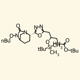 CCCCON1C(=O)N2CC1CC[C@H]2c1nnc(CC(CNC(=O)OC(C)(C)C)O[Si](C)(C)C(C)(C)C)o1